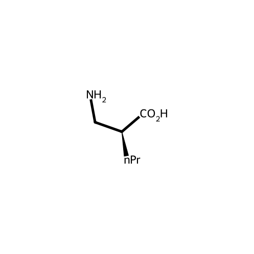 CCC[C@@H](CN)C(=O)O